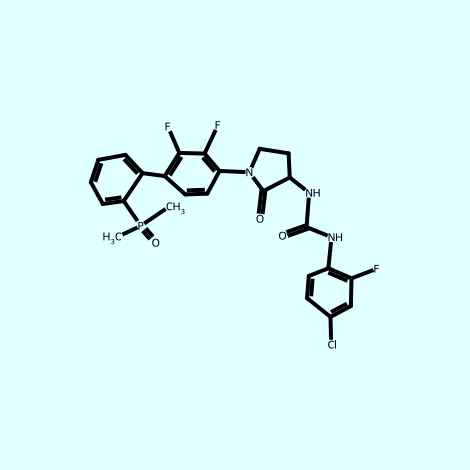 CP(C)(=O)c1ccccc1-c1ccc(N2CCC(NC(=O)Nc3ccc(Cl)cc3F)C2=O)c(F)c1F